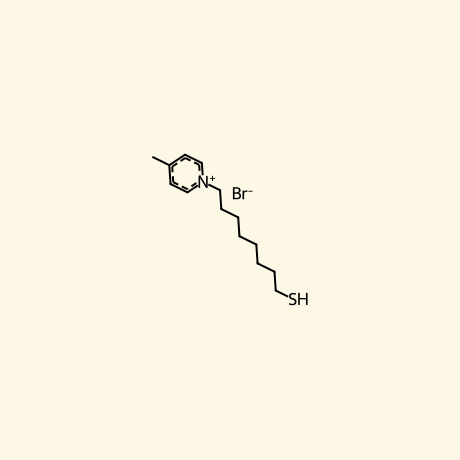 Cc1cc[n+](CCCCCCCCS)cc1.[Br-]